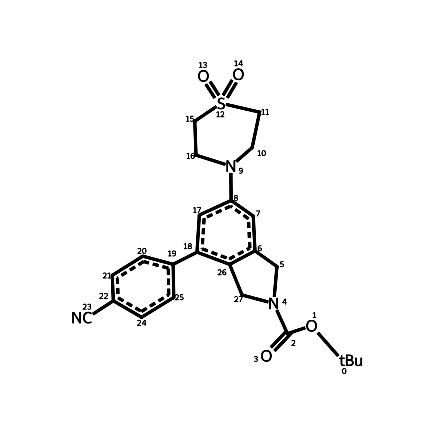 CC(C)(C)OC(=O)N1Cc2cc(N3CCS(=O)(=O)CC3)cc(-c3ccc(C#N)cc3)c2C1